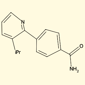 CC(C)c1cccnc1-c1ccc(C(N)=O)cc1